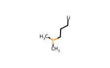 [Li][CH2]CCP(C)C